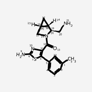 Cc1cccc(-c2sc(N)nc2C(=O)N2C[C@@H]3C[C@@H]3[C@H]2CN)c1